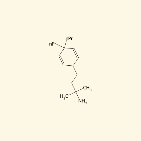 CCCC1(CCC)C=CC(CCC(C)(C)N)C=C1